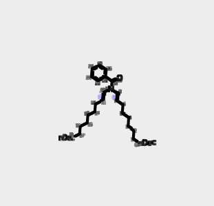 CCCCCCCCCCCCCCCC/C=C/N(/C=C/CCCCCCCCCCCCCCCC)C(=O)c1ccccc1